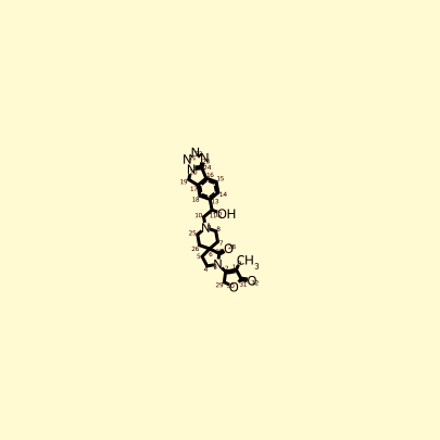 CC1=C(N2CCC3(CCN(CC(O)c4ccc5c(c4)Cn4nnnc4-5)CC3)C2=O)COC1=O